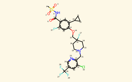 CS(=O)(=O)NC(=O)c1cc(C2CC2)c(OCC2(F)CCN(Cc3ncc(C(F)(F)F)cc3Cl)CC2)cc1F